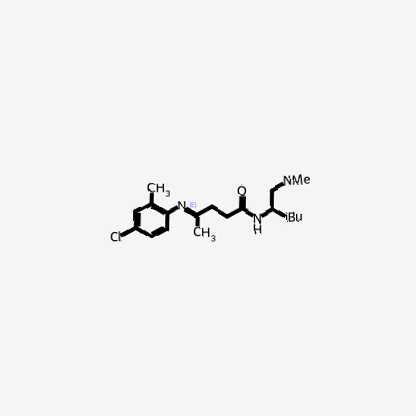 CCC(C)C(CNC)NC(=O)CC/C(C)=N/c1ccc(Cl)cc1C